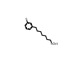 CCCCCCCCCCCCCCCc1cccc([S])c1